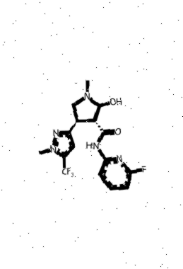 CN1C[C@H](c2cc(C(F)(F)F)n(C)n2)[C@@H](C(=O)Nc2cccc(F)n2)C1O